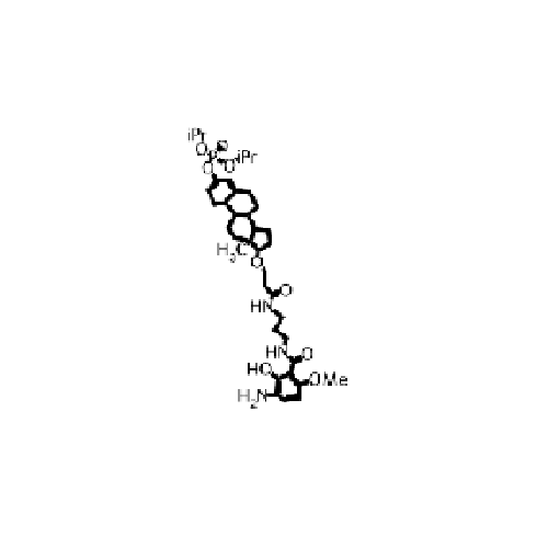 COc1ccc(N)c(O)c1C(=O)NCCCNC(=O)CCOC1CCC2C3CCC4=CC(OP(=O)(OC(C)C)OC(C)C)=CCC4C3CCC12C